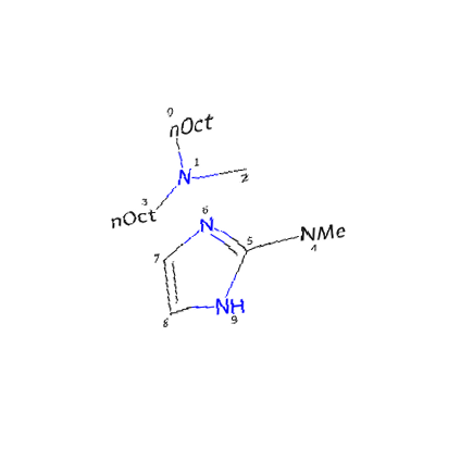 CCCCCCCCN(C)CCCCCCCC.CNc1ncc[nH]1